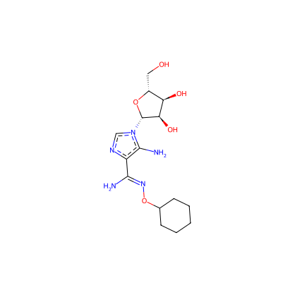 NC(=NOC1CCCCC1)c1ncn([C@@H]2O[C@H](CO)[C@@H](O)[C@H]2O)c1N